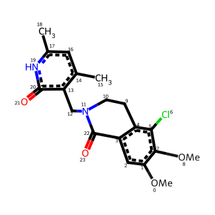 COc1cc2c(c(Cl)c1OC)CCN(Cc1c(C)cc(C)[nH]c1=O)C2=O